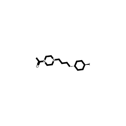 CC(=O)N1CCN(CCCC[C@H]2CC[C@H](I)CC2)CC1